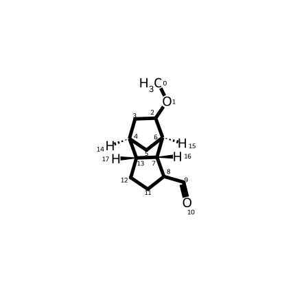 COC1C[C@H]2C[C@@H]1[C@@H]1C(C=O)CC[C@H]21